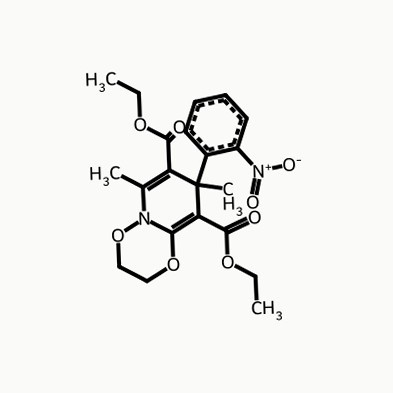 CCOC(=O)C1=C(C)N2OCCOC2=C(C(=O)OCC)C1(C)c1ccccc1[N+](=O)[O-]